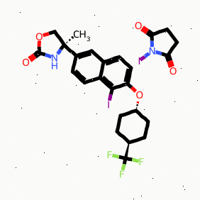 C[C@@]1(c2ccc3c(I)c(O[C@H]4CC[C@H](C(F)(F)F)CC4)ccc3c2)COC(=O)N1.O=C1CCC(=O)N1I